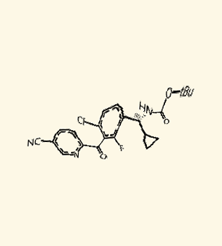 CC(C)(C)OC(=O)N[C@@H](c1ccc(Cl)c(C(=O)c2ccc(C#N)cn2)c1F)C1CC1